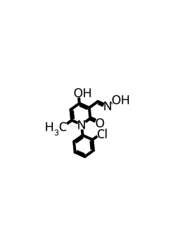 Cc1cc(O)c(C=NO)c(=O)n1-c1ccccc1Cl